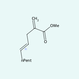 C=C(C/C=C/CCCCC)C(=O)OC